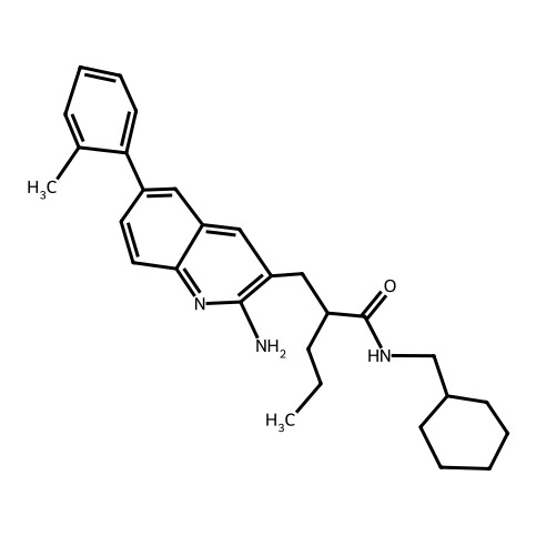 CCCC(Cc1cc2cc(-c3ccccc3C)ccc2nc1N)C(=O)NCC1CCCCC1